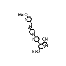 CCOc1cc(-c2ccc(N3CCC4(CC3)CN4Cc3ccc(OC)nc3)nc2)c2c(C#N)cnn2c1